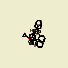 O=C(O)c1ccc(NC(=O)N2C3CCC2CC(OCc2c(-c4ccccc4C(F)(F)F)noc2C2CC2)C3)cc1-c1ccccc1